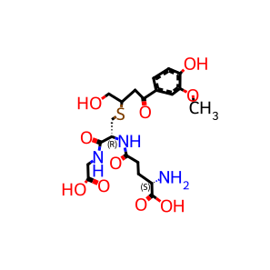 COc1cc(C(=O)CC(CO)SC[C@H](NC(=O)CC[C@H](N)C(=O)O)C(=O)NCC(=O)O)ccc1O